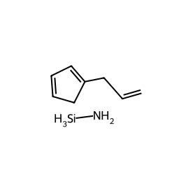 C=CCC1=CC=CC1.N[SiH3]